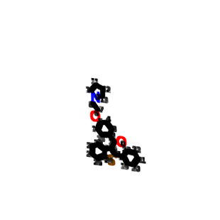 O=C(c1ccc(OCCN2CCCC2)cc1)c1c(-c2ccccc2)sc2ccccc12